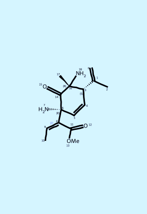 C=C(C)[C@@H]1C=C[C@@](N)(/C(=C/C)C(=O)OC)C(=O)[C@]1(C)N